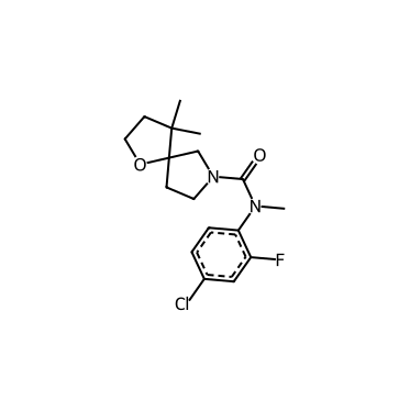 CN(C(=O)N1CCC2(C1)OCCC2(C)C)c1ccc(Cl)cc1F